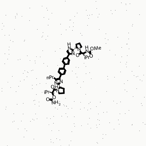 CCCc1[nH]c([C@@H]2CCCN2C(=O)[C@@H](OC(N)=O)C(C)C)nc1-c1ccc(-c2ccc(-c3c[nH]c([C@@H]4CCCN4C(=O)[C@@H](NC(=O)OC)C(C)C)n3)cc2)cc1